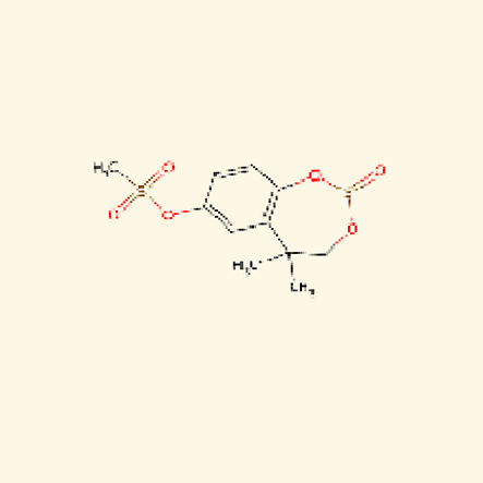 CC1(C)COS(=O)Oc2ccc(OS(C)(=O)=O)cc21